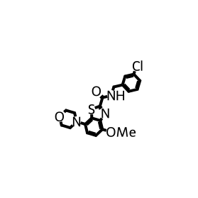 COc1ccc(N2CCOCC2)c2sc(C(=O)NCc3cccc(Cl)c3)nc12